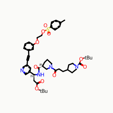 Cc1ccc(S(=O)(=O)OCCOc2cccc(C#Cc3cncc([C@H](CC(=O)OC(C)(C)C)NC(=O)[C@@H]4CCCN(C(=O)CCC5CCN(C(=O)OC(C)(C)C)CC5)C4)c3)c2)cc1